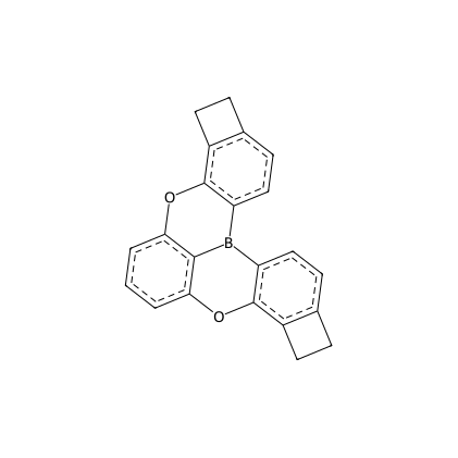 c1cc2c3c(c1)Oc1c(ccc4c1CC4)B3c1ccc3c(c1O2)CC3